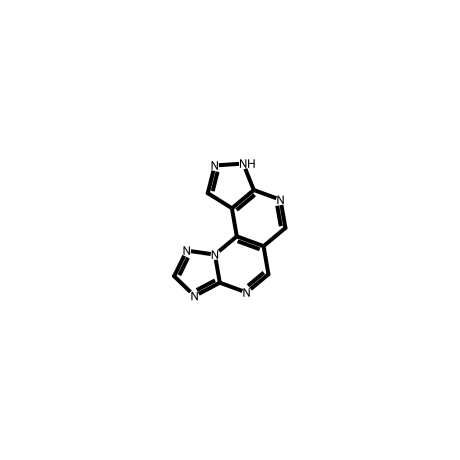 c1nc2ncc3cnc4[nH]ncc4c3n2n1